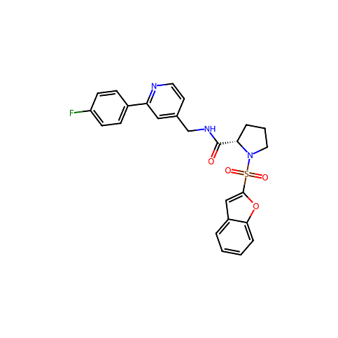 O=C(NCc1ccnc(-c2ccc(F)cc2)c1)[C@@H]1CCCN1S(=O)(=O)c1cc2ccccc2o1